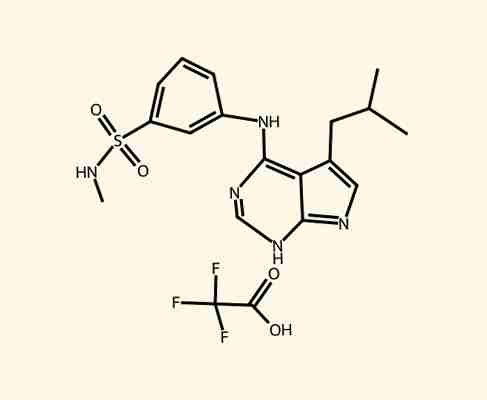 CNS(=O)(=O)c1cccc(Nc2nc[nH]c3ncc(CC(C)C)c2-3)c1.O=C(O)C(F)(F)F